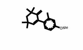 C=C1C(c2ccc(OC)cc2C)=CC(C)(C)CC1(C)C